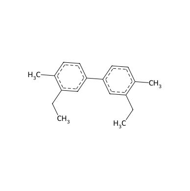 CCc1cc(-c2ccc(C)c(CC)c2)ccc1C